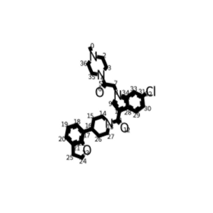 CN1CCN(C(=O)Cn2cc(C(=O)N3CCC(c4cccc5c4OCC5)CC3)c3ccc(Cl)cc32)CC1